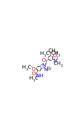 CCOc1cc2c(cc1C(=O)NC)/C(=N/Br)N(CC(=O)c1cc3c(c(C(C)(C)C)c1)OCCN3C)C2